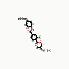 CCCCCCCCCc1ccc(OC(=O)c2ccc(C3OCC(CCCCCC)CO3)c(F)c2)cc1